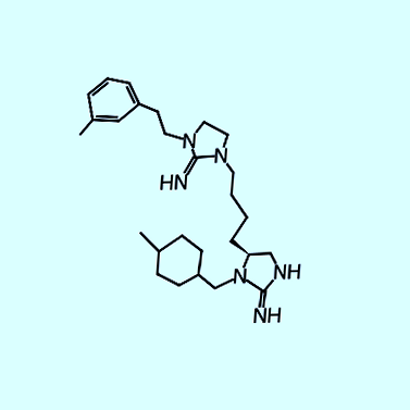 Cc1cccc(CCN2CCN(CCCC[C@H]3CNC(=N)N3CC3CCC(C)CC3)C2=N)c1